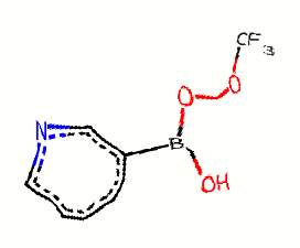 OB(OOC(F)(F)F)c1cccnc1